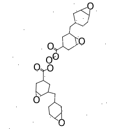 O=C(OOOC(=O)C1CC(CC2CCC3OC3C2)C2OC2C1)C1CC(CC2CCC3OC3C2)C2OC2C1